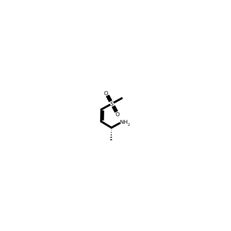 C[C@@H](N)/C=C\S(C)(=O)=O